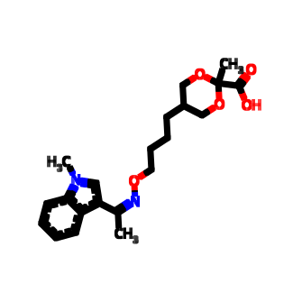 C/C(=N/OCCCCC1COC(C)(C(=O)O)OC1)c1cn(C)c2ccccc12